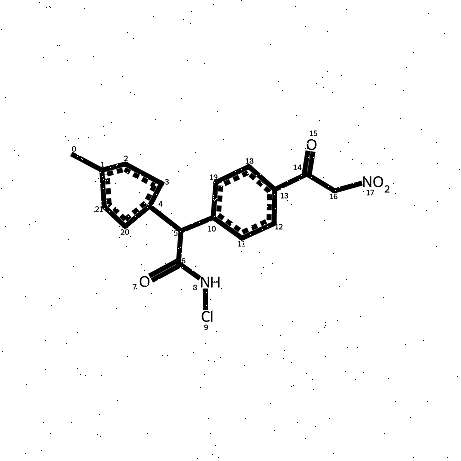 Cc1ccc(C(C(=O)NCl)c2ccc(C(=O)C[N+](=O)[O-])cc2)cc1